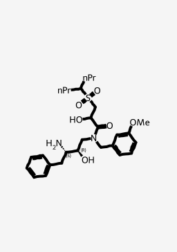 CCCC(CCC)S(=O)(=O)CC(O)C(=O)N(Cc1cccc(OC)c1)C[C@@H](O)[C@@H](N)Cc1ccccc1